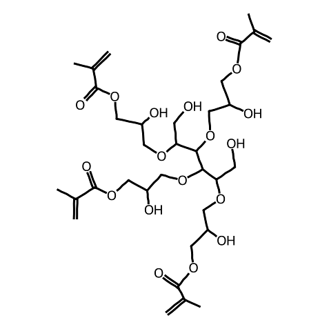 C=C(C)C(=O)OCC(O)COC(CO)C(OCC(O)COC(=O)C(=C)C)C(OCC(O)COC(=O)C(=C)C)C(CO)OCC(O)COC(=O)C(=C)C